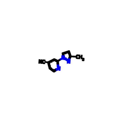 Cc1ccn(-c2cc(C#N)ccn2)n1